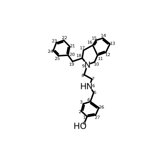 Oc1ccc(CNCCN2Cc3ccccc3CC2Cc2ccccc2)cc1